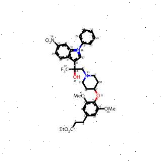 CCOC(=O)CCc1cc(OC)c(OC2CCN(CC(O)(c3cn(-c4ccccc4)c4cc([N+](=O)[O-])ccc34)C(F)(F)F)CC2)c(OC)c1